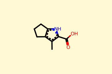 Cc1c(C(=O)O)[nH]c2c1CCC2